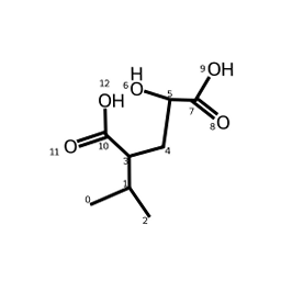 CC(C)C(CC(O)C(=O)O)C(=O)O